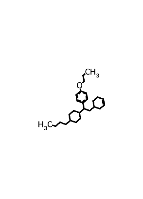 CCCCC1CCC(C(CC2CC=CCC2)c2ccc(OCCC)cc2)CC1